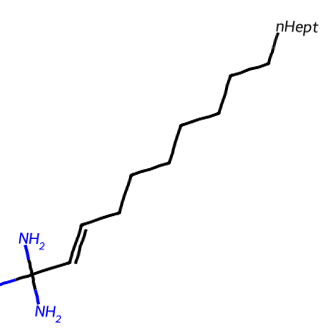 CCCCCCCCCCCCCCC=CC(N)(N)N